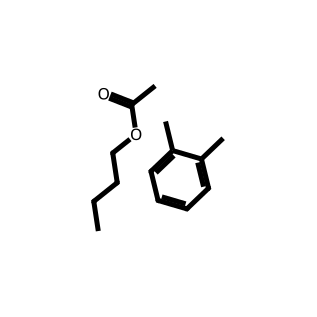 CCCCOC(C)=O.Cc1ccccc1C